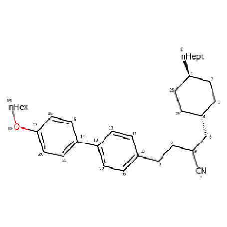 CCCCCCC[C@H]1CC[C@H](CC(C#N)CCc2ccc(-c3ccc(OCCCCCC)cc3)cc2)CC1